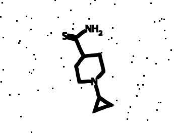 NC(=S)C1CCN(C2CC2)CC1